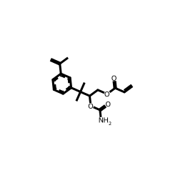 C=CC(=O)OCC(OC(N)=O)C(C)(C)c1cccc(C(=C)C)c1